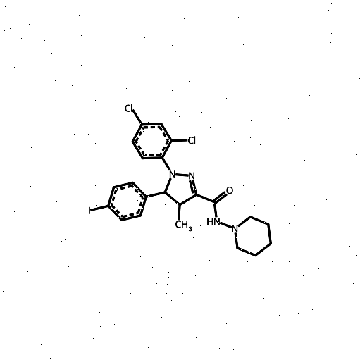 CC1C(C(=O)NN2CCCCC2)=NN(c2ccc(Cl)cc2Cl)C1c1ccc(I)cc1